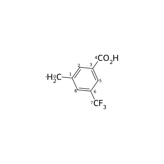 [CH2]c1cc(C(=O)O)cc(C(F)(F)F)c1